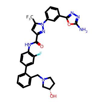 Nc1nnc(-c2cccc(-n3nc(C(=O)Nc4ccc(-c5ccccc5CN5CC[C@H](O)C5)cc4F)cc3C(F)(F)F)c2)o1